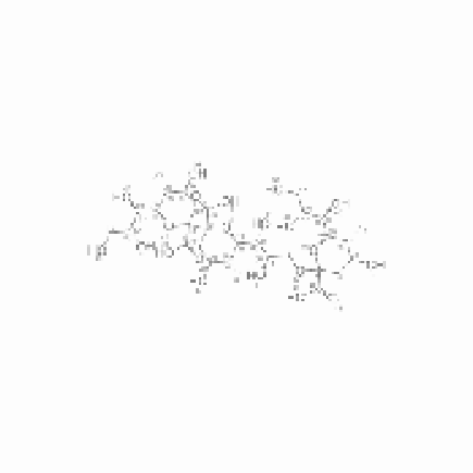 C[C@@H]1C(O)CC(OC[C@@H](O)[C@@H](O)[C@@H]2OC(C(=O)O)(C3(C(=O)O)CC(O)[C@@H](C)[C@H]([C@H](O)[C@H](O)CO)O3)CC(O)[C@H]2C)(C(=O)O)O[C@H]1[C@H](O)[C@H](O)CO